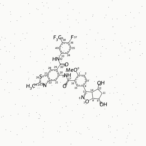 COc1ccc(C2=NOC3C(O)CC(O)C23)cc1C(=O)Nc1cc2nc(C)sc2cc1C(=O)Nc1ccc(F)c(C(F)(F)F)c1